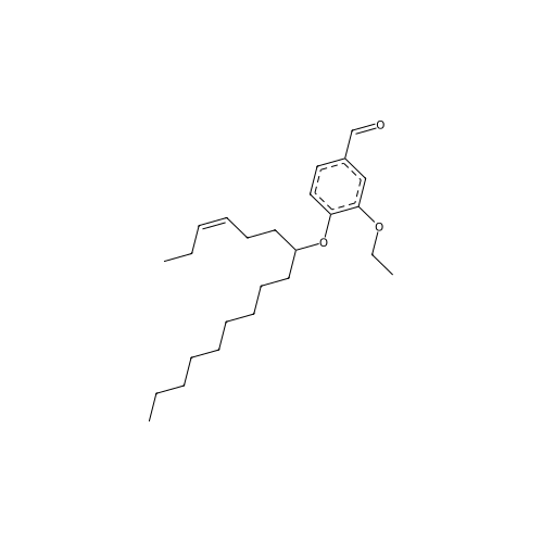 CC/C=C\CCC(CCCCCCCCC)Oc1ccc(C=O)cc1OCC